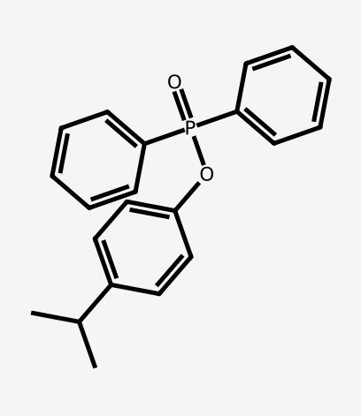 CC(C)c1ccc(OP(=O)(c2ccccc2)c2ccccc2)cc1